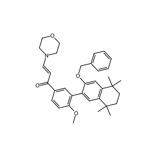 COc1ccc(C(=O)C=CN2CCOCC2)cc1-c1cc2c(cc1OCc1ccccc1)C(C)(C)CCC2(C)C